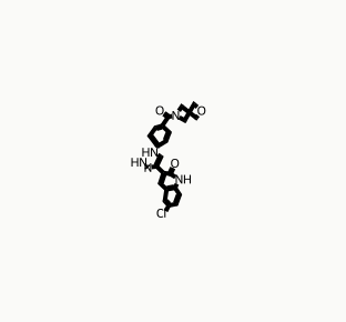 N=N/C(=C\Nc1ccc(C(=O)N2CC3(COC3)C2)cc1)c1cc2cc(Cl)ccc2[nH]c1=O